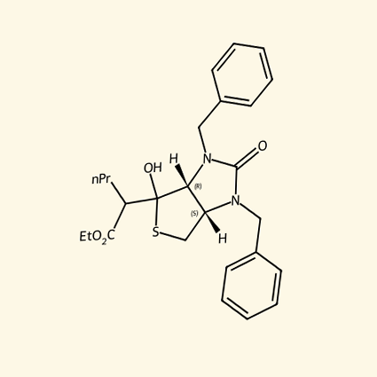 CCCC(C(=O)OCC)C1(O)SC[C@@H]2[C@H]1N(Cc1ccccc1)C(=O)N2Cc1ccccc1